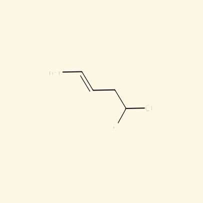 CCCC=CCC(C)CC